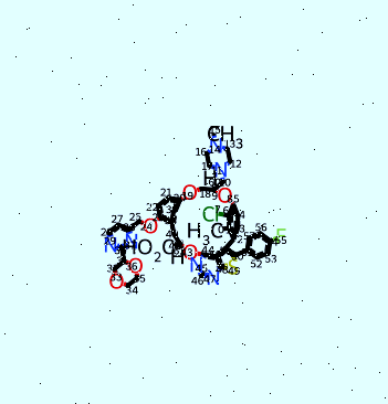 Cc1c2ccc(c1Cl)O[C@H](CN1CCN(C)CC1)COc1ccc(OCc3ccnc(C4COCCO4)n3)c(c1)C[C@H](C(=O)O)Oc1ncnc3sc(-c4ccc(F)cc4)c-2c13